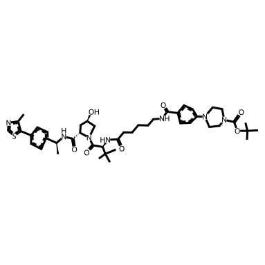 Cc1ncsc1-c1ccc([C@H](C)NC(=O)[C@@H]2C[C@@H](O)CN2C(=O)[C@@H](NC(=O)CCCCCNC(=O)c2ccc(N3CCN(C(=O)OC(C)(C)C)CC3)cc2)C(C)(C)C)cc1